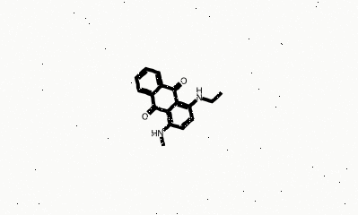 CCNc1ccc(NC)c2c1C(=O)c1ccccc1C2=O